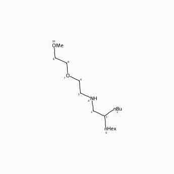 CCCCCCC(CCCC)CNCCOCCOC